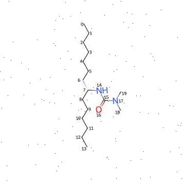 CCCCCCC[C@@H](CCCCCC)NC(=O)N(C)C